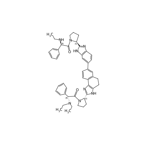 CCN[C@@H](C(=O)N1CCC[C@H]1c1nc2ccc(-c3ccc4c(c3)CCc3[nH]c([C@@H]5CCCN5C(=O)[C@@H](c5ccccc5)N(CC)CC)nc3-4)cc2[nH]1)c1ccccc1